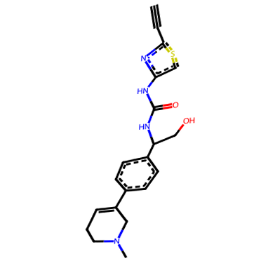 C#Cc1nc(NC(=O)NC(CO)c2ccc(C3=CCCN(C)C3)cc2)cs1